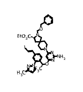 CCOC(=O)[C@@H]1CC2(CCN(c3cc(O[C@H](c4ccc(/C=C/I)cc4-n4ccc(C)n4)C(F)(F)F)nc(N)n3)CC2)CN1COCc1ccccc1